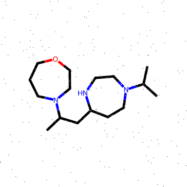 CC(C)N1CCNC(CC(C)N2CCCOCC2)CC1